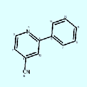 N#Cc1ccnc(-c2c[c]ccc2)c1